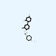 O=S(=O)(N[C@H]1CC[C@H](O)CC1)c1ccc(-c2ccc(F)cc2F)cc1Cl